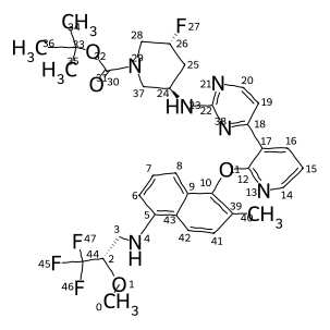 CO[C@@H](CNc1cccc2c(Oc3ncccc3-c3ccnc(N[C@@H]4C[C@@H](F)CN(C(=O)OC(C)(C)C)C4)n3)c(C)ccc12)C(F)(F)F